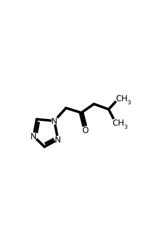 CC(C)CC(=O)Cn1cncn1